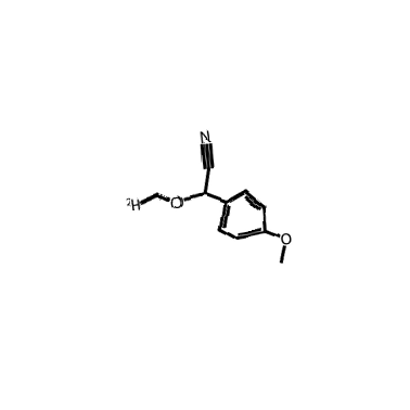 [2H]COC(C#N)c1ccc(OC)cc1